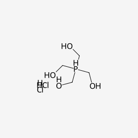 Cl.Cl.OC[PH](CO)(CO)CO